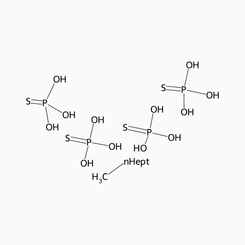 CCCCCCCC.OP(O)(O)=S.OP(O)(O)=S.OP(O)(O)=S.OP(O)(O)=S